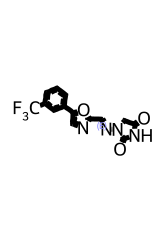 O=C1CN(/N=C/c2ncc(-c3cccc(C(F)(F)F)c3)o2)C(=O)N1